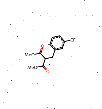 COC(=O)C(Cc1[c]ccc(C(F)(F)F)c1)C(=O)OC